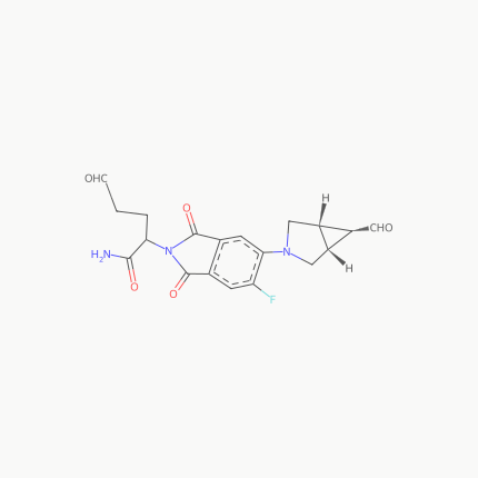 NC(=O)C(CCC=O)N1C(=O)c2cc(F)c(N3C[C@@H]4[C@@H](C=O)[C@@H]4C3)cc2C1=O